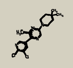 Cc1nc(N2CCC(C)(C)CC2)cnc1-c1cnc(Cl)c(Cl)c1